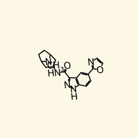 CN1C2CCC1CC(NC(=O)c1n[nH]c3ccc(-c4ncco4)cc13)C2